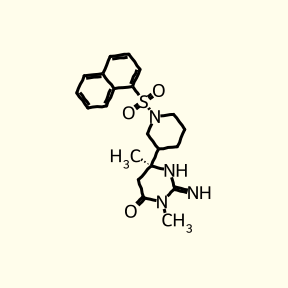 CN1C(=N)N[C@](C)(C2CCCN(S(=O)(=O)c3cccc4ccccc34)C2)CC1=O